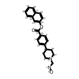 O=NCN1CCC(c2ccc(C(=O)Oc3ccc4ccccc4c3)cc2)CC1